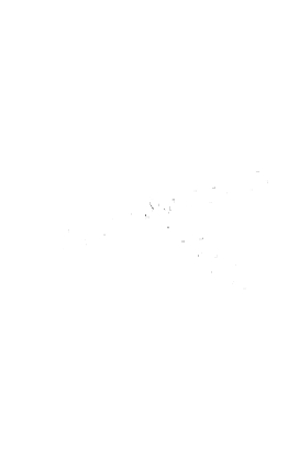 CCCCCCCCCCCCNC(=O)N(CCCCCCCCCC)CCCCCCCCCC